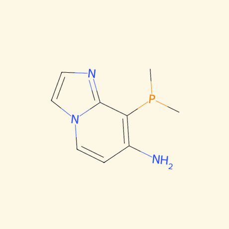 CP(C)c1c(N)ccn2ccnc12